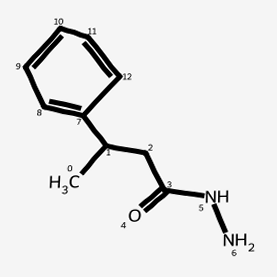 CC(CC(=O)NN)c1ccccc1